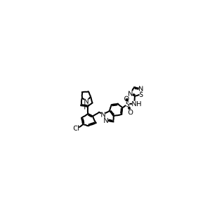 O=S(=O)(Nc1ncns1)c1ccc2c(cnn2Cc2ccc(Cl)cc2C2=CC3CCC(C2)N3)c1